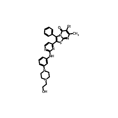 CCc1c(C)nc2sc(-c3ccnc(Nc4cccc(N5CCN(CCO)CC5)c4)n3)c(-c3ccccc3)n2c1=O